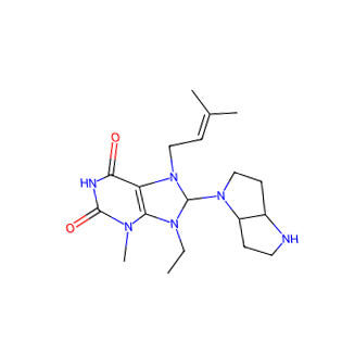 CCN1c2c(c(=O)[nH]c(=O)n2C)N(CC=C(C)C)C1N1CCC2NCCC21